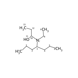 CCCC(CCC)N(CC)C(O)CC